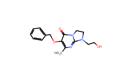 O=C(O)c1nc2n(c(=O)c1OCc1ccccc1)CCN2CCO